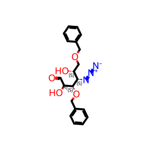 [N-]=[N+]=N[C@H]([C@H](OCc1ccccc1)[C@@H](O)C=O)[C@H](O)COCc1ccccc1